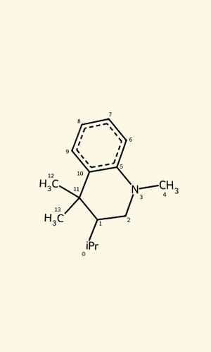 CC(C)C1CN(C)c2ccccc2C1(C)C